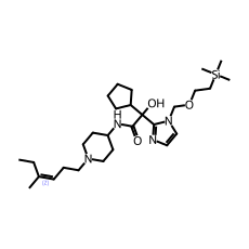 CC/C(C)=C\CCN1CCC(NC(=O)C(O)(c2nccn2COCC[Si](C)(C)C)C2CCCC2)CC1